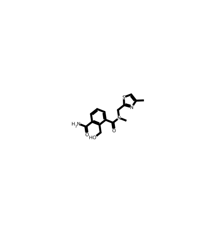 Cc1csc(CN(C)C(=O)c2cccc(C(N)=O)c2CO)n1